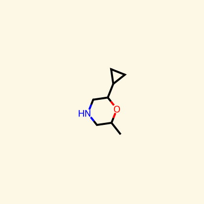 CC1CNCC(C2CC2)O1